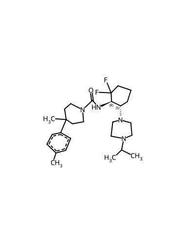 Cc1ccc(C2(C)CCN(C(=O)N[C@@H]3[C@@H](N4CCN(C(C)C)CC4)CCCC3(F)F)CC2)cc1